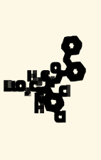 CCOC(=O)c1[nH]c2cc(Cl)cc(Cl)c2c1N(C)CC(=O)c1ccccc1Cc1ccccc1